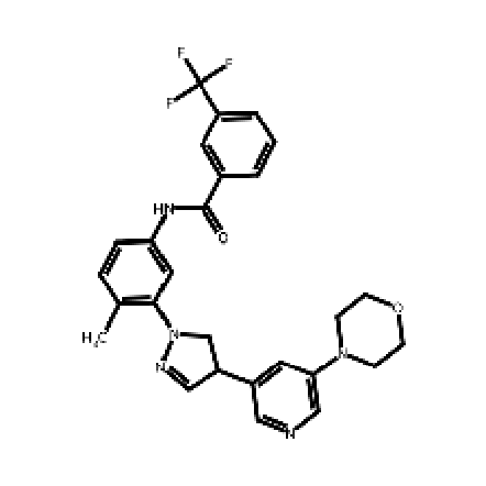 Cc1ccc(NC(=O)c2cccc(C(F)(F)F)c2)cc1N1CC(c2cncc(N3CCOCC3)c2)C=N1